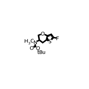 CN(C(=O)OC(C)(C)C)C1COc2cc(F)sc2C1